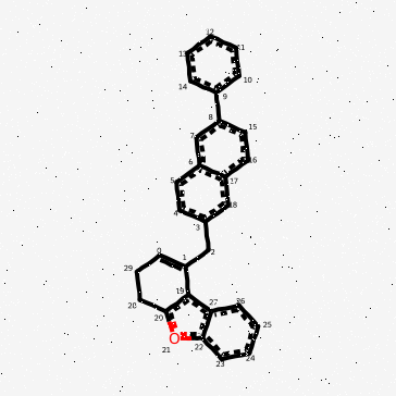 C1=C(Cc2ccc3cc(-c4ccccc4)ccc3c2)c2c(oc3ccccc23)CC1